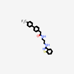 O=C(Cc1ccc(-c2ccc(C(F)(F)F)cc2)cc1)NCCCNc1nsc2ccccc12